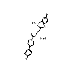 O=C(COCC(=O)N1CCN(c2ccc(Cl)cc2)CC1)Nc1ccc(Cl)cc1C(=O)O.[NaH]